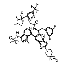 CC(C)[C@@H](C)C(F)(F)c1cc(C(F)(F)F)nn1CC(=O)NC(Cc1cc(F)cc(F)c1)c1nc2nc(N3CCC(C)(N)CC3)sc2cc1-c1cccc2c(NS(C)(=O)=O)nn(C)c12